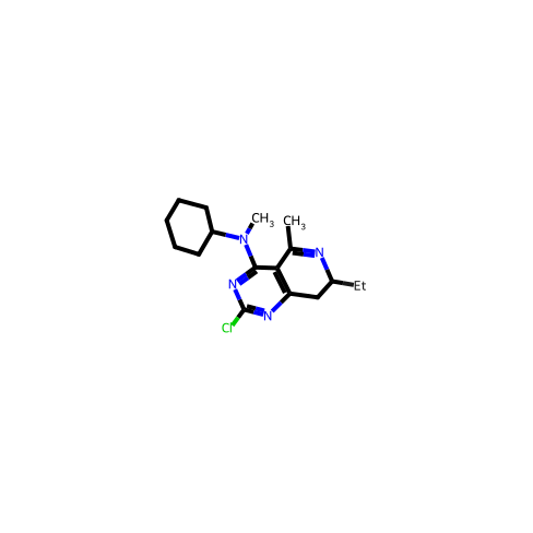 CCC1Cc2nc(Cl)nc(N(C)C3CCCCC3)c2C(C)=N1